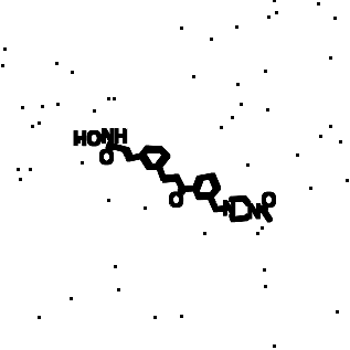 CC(=O)N1CCN(Cc2cccc(C(=O)C=Cc3cccc(C=CC(=O)NO)c3)c2)CC1